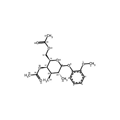 COc1ccccc1OC1O[C@H](COC(C)=O)[C@H](OC(C)=O)[C@H](C)[C@H]1C